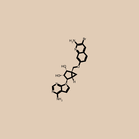 Nc1nc2cc(OC[C@@]34C[C@@H]3[C@@H](n3ccc5c(N)ncnc53)[C@H](O)[C@@H]4O)ccc2cc1Br